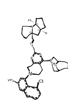 Oc1cc(N2CCc3c(nc(OC[C@@]45CCCN4[C@H]4CCC[C@@]4(F)C5)nc3N3CC4CCC(C3)N4)C2)c2c(Cl)cccc2c1